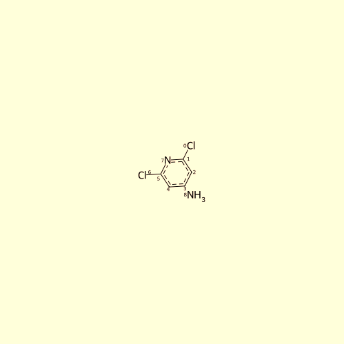 Clc1cccc(Cl)n1.N